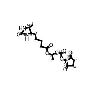 CC(OC(=O)CCCCC1NC(=O)NC1C)OC(=O)ON1C(=O)CCC1=O